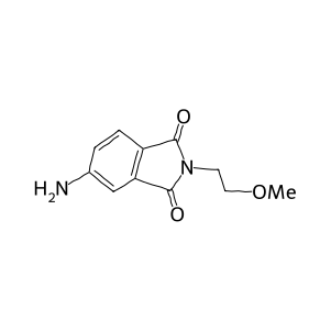 COCCN1C(=O)c2ccc(N)cc2C1=O